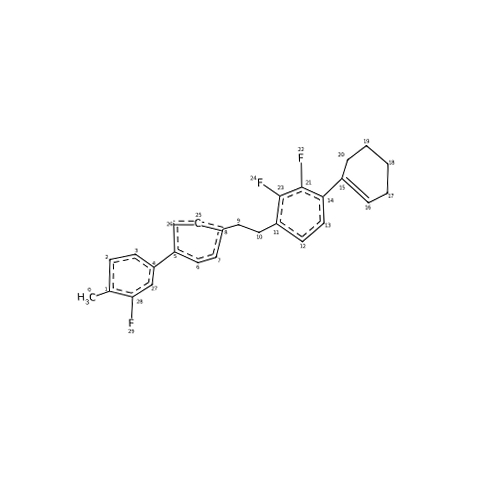 Cc1ccc(-c2ccc(CCc3ccc(C4=CCCCC4)c(F)c3F)cc2)cc1F